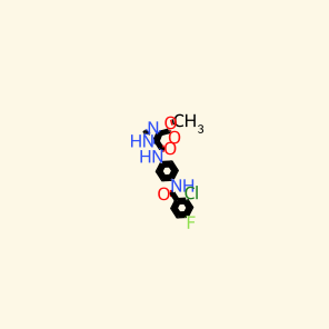 COC(=O)c1nc[nH]c1C(=O)Nc1ccc(NC(=O)c2ccc(F)cc2Cl)cc1